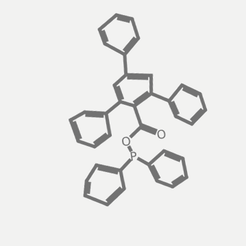 O=C(OP(c1ccccc1)c1ccccc1)c1c(-c2ccccc2)cc(-c2ccccc2)cc1-c1ccccc1